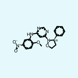 COc1c[c]c([N+](=O)[O-])cc1Nc1cc(N2OCC[C@@H]2c2ccccc2)ncn1